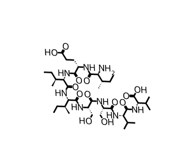 CC[C@H](C)[C@H](N)C(=O)N[C@@H](CCC(=O)O)C(=O)N[C@H](C(=O)N[C@H](C(=O)N[C@@H](CO)C(=O)N[C@@H](CO)C(=O)N[C@H](C(=O)N[C@H](C(=O)O)C(C)C)C(C)C)[C@@H](C)CC)[C@@H](C)CC